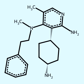 Cc1cnc(N)c([C@H]2CC[C@@H](N)CC2)c1N(C)CCc1ccccc1